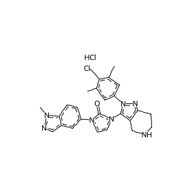 Cc1cc(-n2nc3c(c2-n2ccn(-c4ccc5c(cnn5C)c4)c2=O)CNCC3)cc(C)c1Cl.Cl